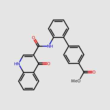 COC(=O)c1ccc(-c2ccccc2NC(=O)c2c[nH]c3ccccc3c2=O)cc1